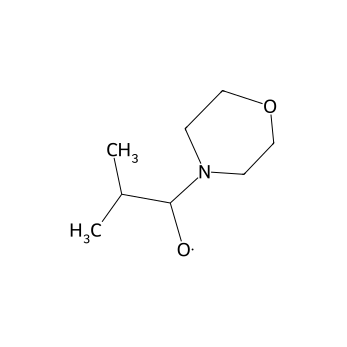 CC(C)C([O])N1CCOCC1